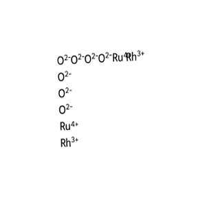 [O-2].[O-2].[O-2].[O-2].[O-2].[O-2].[O-2].[Rh+3].[Rh+3].[Ru+4].[Ru+4]